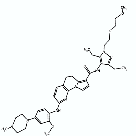 CCc1nn(CCOCCOC)c(CC)c1NC(=O)c1ccn2c1CCc1cnc(Nc3ccc(N4CCN(C)CC4)cc3OC)nc1-2